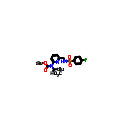 CC(C)(C)OC(=O)N(c1cccc(CNS(=O)(=O)c2ccc(F)cc2)n1)C(C(=O)O)C(C)(C)C